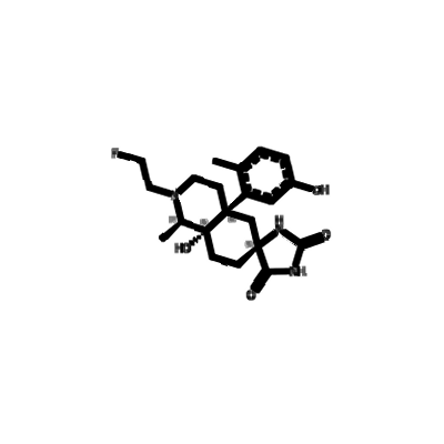 Cc1ccc(O)cc1[C@]12CCN(CCF)[C@H](C)[C@]1(O)CC[C@@]1(C2)NC(=O)NC1=O